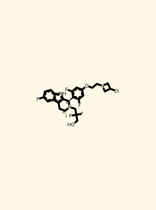 CCC1CN(CCOc2cc(F)c([C@@H]3c4[nH]c5ccc(F)cc5c4C[C@@H](C)N3CC(F)(F)CO)c(F)c2)C1